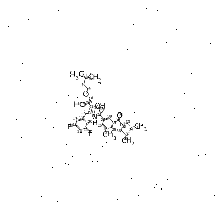 C=C(C)CCOC[C@@H](O)[C@H](O)[C@H](Cc1cc(F)cc(F)c1)NC(=O)c1cc(C)cc(C(=O)N(CCC)CCC)c1